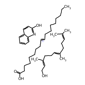 CC(C)=CCCC(C)=CCCC(C)=CCO.CCCCCCCC/C=C/CCCCCCCC(=O)O.Oc1ccc2ccccc2n1